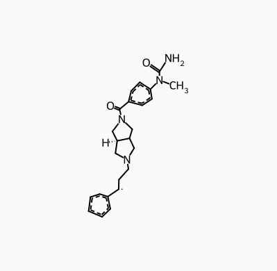 CN(C(N)=O)c1ccc(C(=O)N2CC3CN(CC[CH]c4ccccc4)C[C@H]3C2)cc1